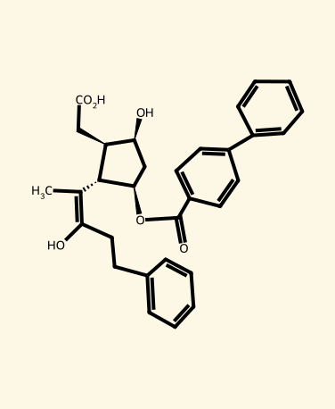 CC(=C(O)CCc1ccccc1)[C@@H]1[C@@H](CC(=O)O)[C@@H](O)C[C@H]1OC(=O)c1ccc(-c2ccccc2)cc1